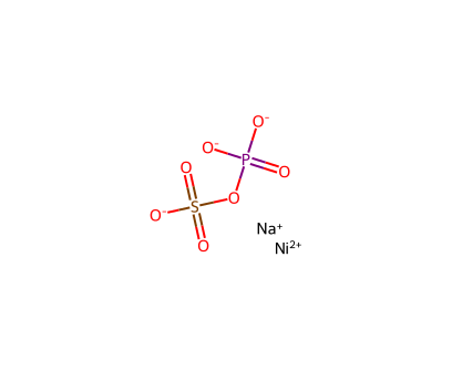 O=P([O-])([O-])OS(=O)(=O)[O-].[Na+].[Ni+2]